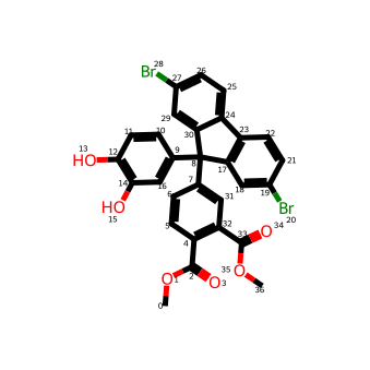 COC(=O)c1ccc(C2(c3ccc(O)c(O)c3)c3cc(Br)ccc3-c3ccc(Br)cc32)cc1C(=O)OC